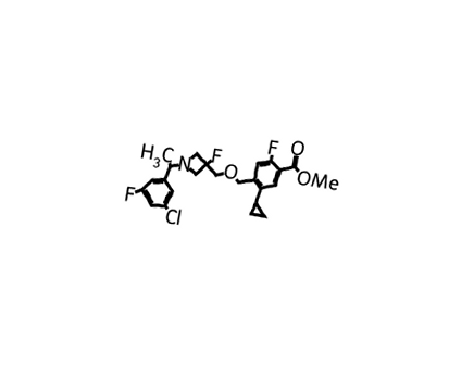 COC(=O)c1cc(C2CC2)c(COCC2(F)CN(C(C)c3cc(F)cc(Cl)c3)C2)cc1F